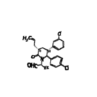 C=CC[C@@H]1C[C@H](c2cccc(Cl)c2)C(c2ccc(Cl)cc2)N(C(C=O)CC)C1=O